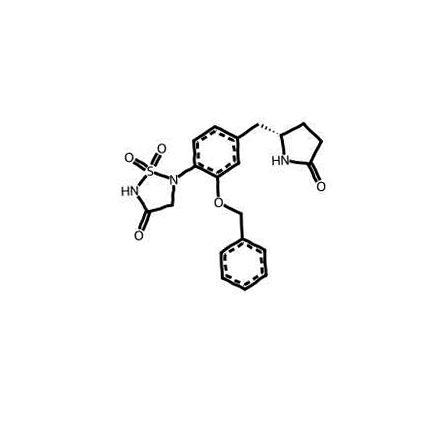 O=C1CC[C@@H](Cc2ccc(N3CC(=O)NS3(=O)=O)c(OCc3ccccc3)c2)N1